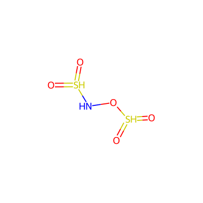 O=[SH](=O)NO[SH](=O)=O